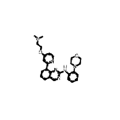 CN(C)CCOc1ccnc(-c2cccc3cnc(Nc4ccccc4N4CCOCC4)nc23)c1